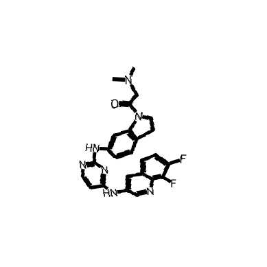 CN(C)CC(=O)N1CCc2ccc(Nc3nccc(Nc4cnc5c(F)c(F)ccc5c4)n3)cc21